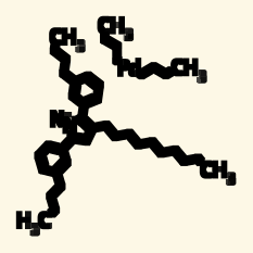 CCCCCCCCCCC1=C(c2cccc(CCCC)c2)[N+](=[N-])C(c2cccc(CCCC)c2)=C1.CCC[CH2][Pd][CH2]CCC